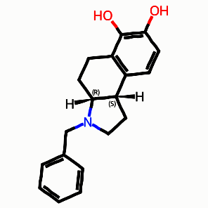 Oc1ccc2c(c1O)CC[C@@H]1[C@H]2CCN1Cc1ccccc1